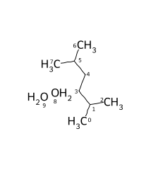 CC(C)CCC(C)C.O.O